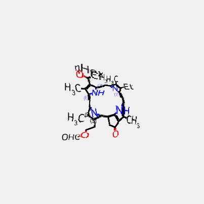 CCCCCCOC(C)c1c(C)/c2[nH]/c1=C\C1=NC(=C\c3[nH]c4c(c3C)C(=O)CC4C3N=C(/C=2)[C@@H](C)[C@@H]3CCOC=O)/C(CC)=C1C